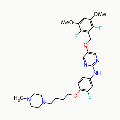 COc1cc(OC)c(F)c(COc2cnc(Nc3ccc(OCCCCN4CCN(C)CC4)c(F)c3)nc2)c1F